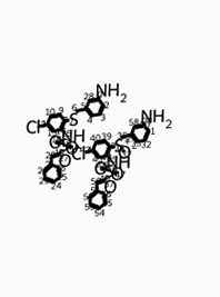 Nc1cccc(CSc2ccc(Cl)cc2NS(=O)(=O)c2cc3ccccc3o2)c1.Nc1cccc(C[S+]([O-])c2ccc(Cl)cc2NS(=O)(=O)c2cc3ccccc3o2)c1